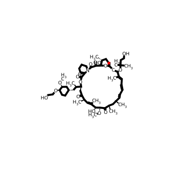 CO[C@@H]1C[C@H](C[C@@H](C)[C@@H]2CC(=O)[C@H](C)/C=C(\C)[C@@H](O)[C@@H](OC)C(=O)[C@H](C)C[C@H](C)/C=C/C=C/C=C(\C)C(OC(C)(C)CCO)C[C@@H]3CC[C@@H](C)[C@@](O)(O3)C(=O)C(=O)N3CCCC[C@H]3C(=O)O2)CC[C@H]1OCCO